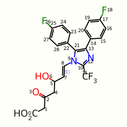 O=C(O)CC(=O)CC(O)/C=C/n1c(C(F)(F)F)nc(-c2ccc(F)cc2)c1-c1ccc(F)cc1